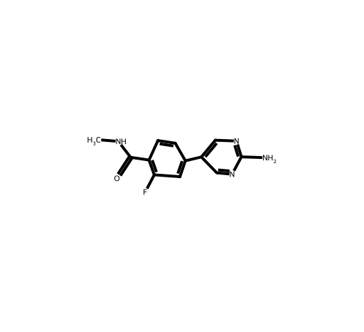 CNC(=O)c1ccc(-c2cnc(N)nc2)cc1F